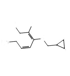 NC/C=C\C(OCC1CC1)=C(\Cl)CF